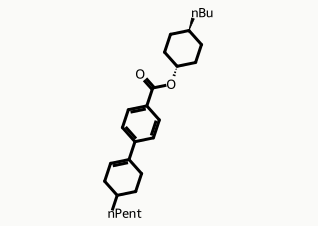 CCCCCC1CC=C(c2ccc(C(=O)O[C@H]3CC[C@H](CCCC)CC3)cc2)CC1